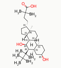 BC(B)(CC[C@H]1CC[C@H]2[C@@H]3[C@H](O)[C@H](C(B)(B)C(B)(B)B)[C@@H]4C[C@H](O)CC[C@]4(C)[C@H]3CC[C@]12C)C(=O)O